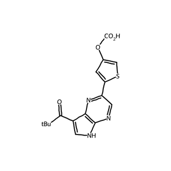 CC(C)(C)C(=O)c1c[nH]c2ncc(-c3cc(OC(=O)O)cs3)nc12